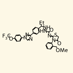 CCC(NNC(=O)/N=C1\SCC(=O)N1c1ccccc1COC)c1ccc(-c2ncn(-c3ccc(OC(F)(F)F)cc3)n2)cc1